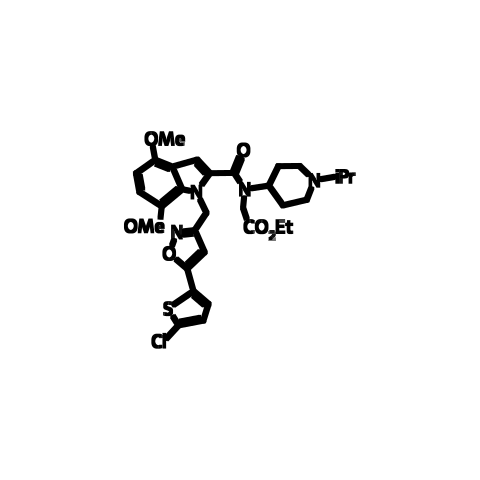 CCOC(=O)CN(C(=O)c1cc2c(OC)ccc(OC)c2n1Cc1cc(-c2ccc(Cl)s2)on1)C1CCN(C(C)C)CC1